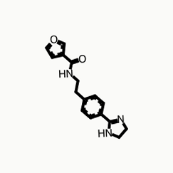 O=C(NCCc1ccc(C2=NCCN2)cc1)c1ccoc1